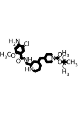 COc1cc(N)c(Cl)cc1C(=O)NCC1CC(CC2CCN(C(=O)OC(C)(C)C)CC2)CCCN1